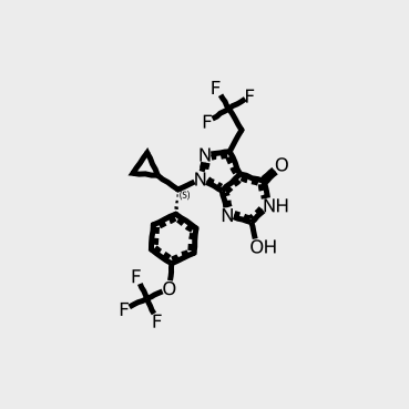 O=c1[nH]c(O)nc2c1c(CC(F)(F)F)nn2[C@H](c1ccc(OC(F)(F)F)cc1)C1CC1